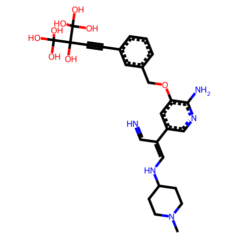 CN1CCC(N/C=C(\C=N)c2cnc(N)c(OCc3cccc(C#CC(O)(C(O)(O)O)C(O)(O)O)c3)c2)CC1